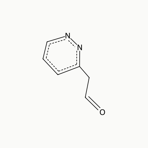 O=CCc1cccnn1